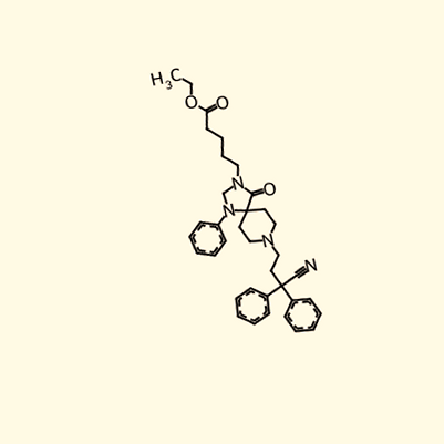 CCOC(=O)CCCCN1CN(c2ccccc2)C2(CCN(CCC(C#N)(c3ccccc3)c3ccccc3)CC2)C1=O